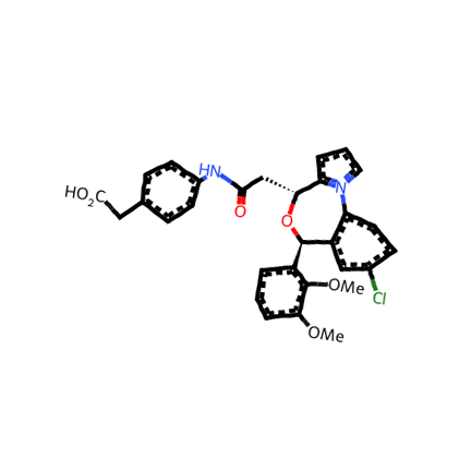 COc1cccc([C@H]2O[C@H](CC(=O)Nc3ccc(CC(=O)O)cc3)c3cccn3-c3ccc(Cl)cc32)c1OC